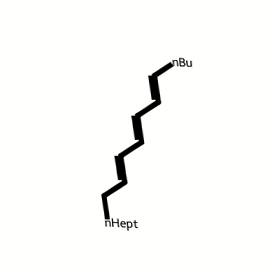 [CH2]CCCCCCCC=CC=CC=CCCCC